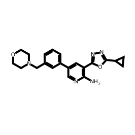 Nc1ncc(-c2cccc(CN3CCOCC3)c2)cc1-c1nnc(C2CC2)o1